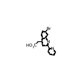 O=C(O)Cc1cc(-c2ccccn2)nc2cc(Br)ccc12